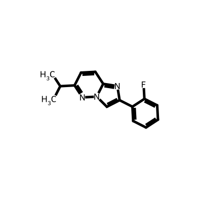 CC(C)c1ccc2nc(-c3ccccc3F)cn2n1